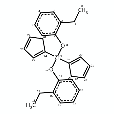 CCc1ccccc1[O][Zr]([O]c1ccccc1CC)([C]1=CC=CC1)[C]1=CC=CC1